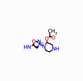 CC(=O)OC1CNCCN1[n+]1cc([NH-])on1